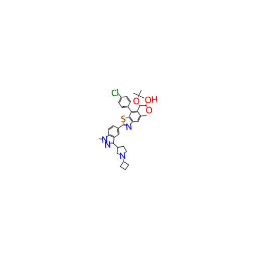 Cc1cc2nc(-c3ccc4c(c3)c(C3CCN(C5CCC5)C3)nn4C)sc2c(-c2ccc(Cl)cc2)c1C(OC(C)(C)C)C(=O)O